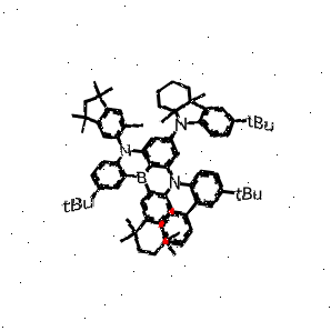 Cc1cc2c(cc1N1c3ccc(C(C)(C)C)cc3B3c4cc5c(cc4N(c4ccc(C(C)(C)C)cc4-c4ccccc4)c4cc(N6c7ccc(C(C)(C)C)cc7C7(C)CCCCC67C)cc1c43)C(C)(C)CCC5(C)C)C(C)(C)CC2(C)C